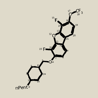 CCCCCC1CCC(COc2ccc3c(oc4c(F)c(OC(F)(F)F)ccc43)c2F)CC1